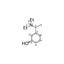 CCN(CC)C(C)c1cccc(O)c1